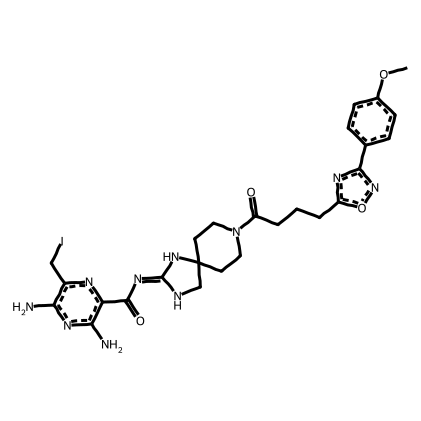 COc1ccc(-c2noc(CCCC(=O)N3CCC4(CC3)CN/C(=N\C(=O)c3nc(CI)c(N)nc3N)N4)n2)cc1